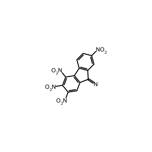 [N]=C1c2cc([N+](=O)[O-])ccc2-c2c1cc([N+](=O)[O-])c([N+](=O)[O-])c2[N+](=O)[O-]